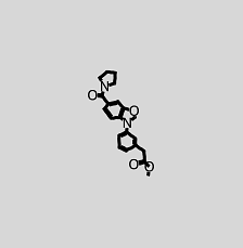 COC(=O)Cc1cccc(N2COc3cc(C(=O)N4CCCC4)ccc32)c1